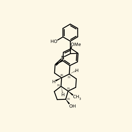 COc1cc2c3cc1C(c1ccccc1O)N=C2C[C@@H]1[C@@H]3CC[C@]2(C)[C@@H](O)CC[C@@H]12